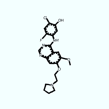 COc1cc2c(Nc3cc(O)c(Cl)cc3F)ncnc2cc1OCCN1CCCC1